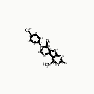 Cc1nc(N)c2c(n1)sc1c(=O)n(-c3ccc(Cl)cc3)cnc12